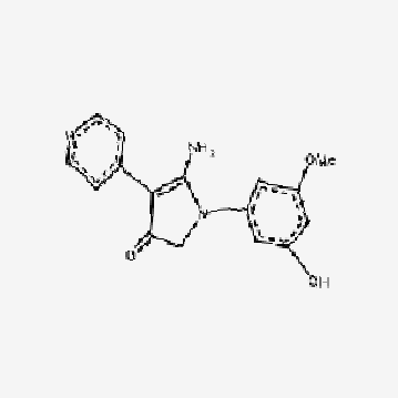 COc1cc(O)cc(N2CC(=O)C(c3ccncc3)=C2N)c1